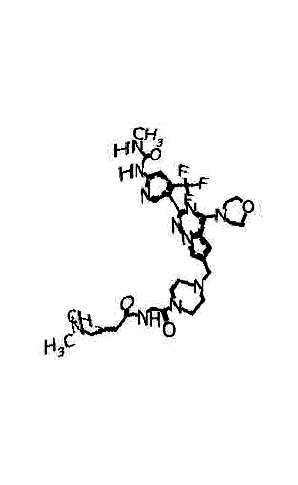 CNC(=O)Nc1cc(C(F)(F)F)c(-c2nc(N3CCOCC3)c3cc(CN4CCN(C(=O)CNC(=O)/C=C/CN(C)C)CC4)cn3n2)cn1